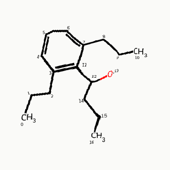 CCCc1cccc(CCC)c1C([O])CCC